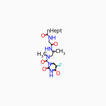 CCCCCCCC(=O)NCC(=O)N[C@@H](C)CN(C)C(=O)n1cc(F)c(=O)[nH]c1=O